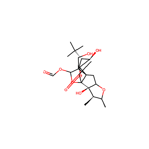 CC1OC2CC34C5OC(=O)C3(OC(OC=O)C4(CO)[C@H](C(C)(C)C)[C@H]5O)[C@@]2(O)[C@@H]1C